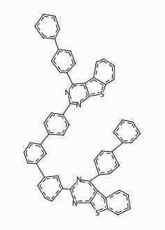 c1ccc(-c2ccc(-c3nc(-c4ccc(-c5cccc(-c6cccc(-c7nc(-c8ccc(-c9ccccc9)cc8)c8c(n7)sc7ccccc78)c6)c5)cc4)nc4sc5ccccc5c34)cc2)cc1